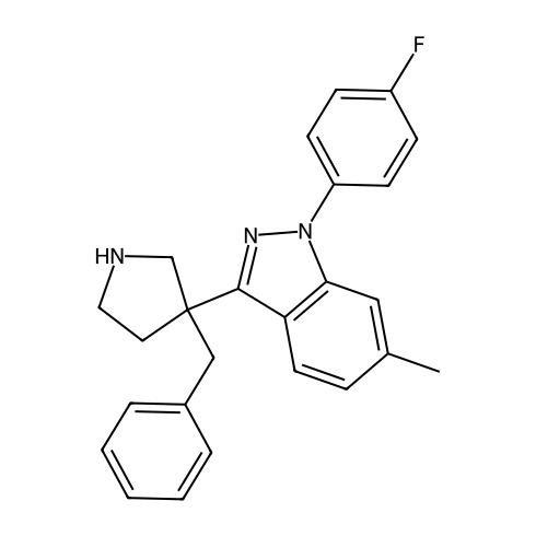 Cc1ccc2c(C3(Cc4ccccc4)CCNC3)nn(-c3ccc(F)cc3)c2c1